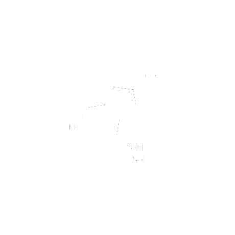 O=C(O)c1cc(S(=O)O)c(Br)s1.[NaH].[NaH]